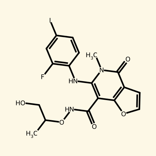 CC(CO)ONC(=O)c1c(Nc2ccc(I)cc2F)n(C)c(=O)c2ccoc12